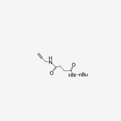 C#CCNC(=O)CCC(=O)NCCCC